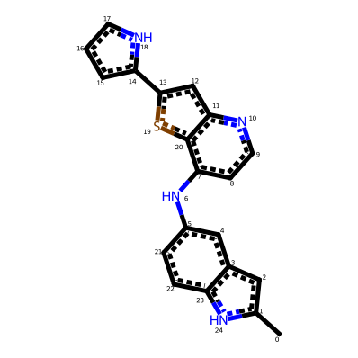 Cc1cc2cc(Nc3ccnc4cc(-c5ccc[nH]5)sc34)ccc2[nH]1